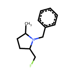 CC1CCC(CF)N1Cc1ccccc1